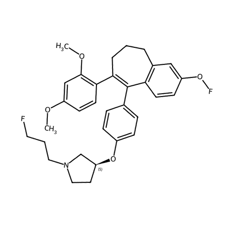 COc1ccc(C2=C(c3ccc(O[C@H]4CCN(CCCF)C4)cc3)c3ccc(OF)cc3CCC2)c(OC)c1